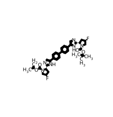 C=C(C)OC(=O)N1C[C@H](F)C[C@H]1c1ncc(-c2ccc(-c3ccc(-c4cnc([C@@H]5C[C@@H](F)CN5C(=O)OC(C)(C)C)[nH]4)cc3)cc2)[nH]1